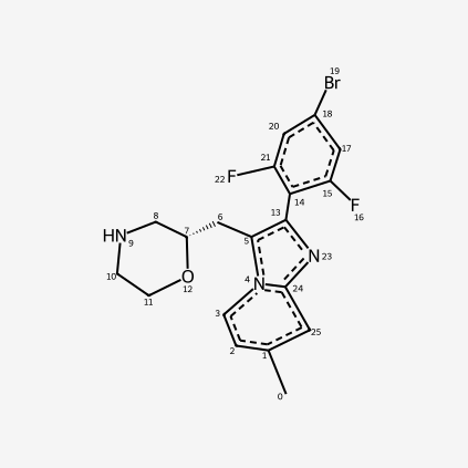 Cc1ccn2c(C[C@H]3CNCCO3)c(-c3c(F)cc(Br)cc3F)nc2c1